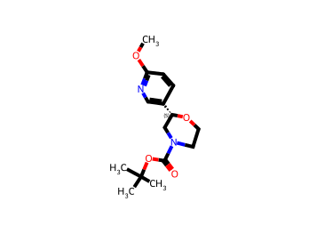 COc1ccc([C@H]2CN(C(=O)OC(C)(C)C)CCO2)cn1